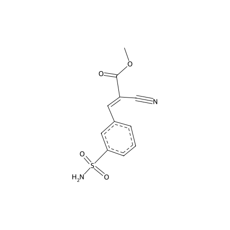 COC(=O)/C(C#N)=C/c1cccc(S(N)(=O)=O)c1